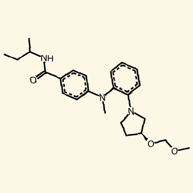 CCC(C)NC(=O)c1ccc(N(C)c2ccccc2N2CC[C@H](OCOC)C2)cc1